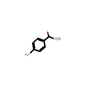 CCOC(=O)C(I)c1ccc(C)cc1